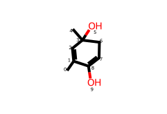 CC1=CC(C)(O)CC=C1O